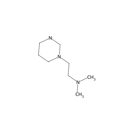 CN(C)CCN1CCC[N]C1